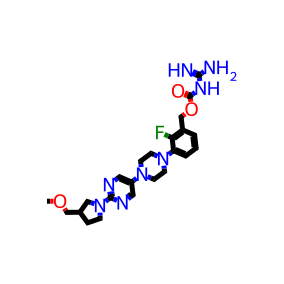 COCC1CCN(c2ncc(N3CCN(c4cccc(COC(=O)NC(=N)N)c4F)CC3)cn2)C1